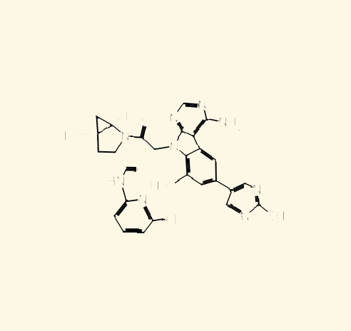 Cc1ncc(-c2cc(C)c3c(c2)c2c(N)ncnc2n3CC(=O)N2[C@H](C(=O)Nc3cccc(Cl)n3)C[C@@]3(C)C[C@@H]23)cn1